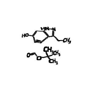 CC(C)(C)OC=O.CCc1n[nH]c2cc(O)ccc12